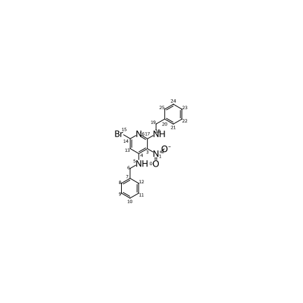 O=[N+]([O-])c1c(NCc2ccccc2)cc(Br)nc1NCc1ccccc1